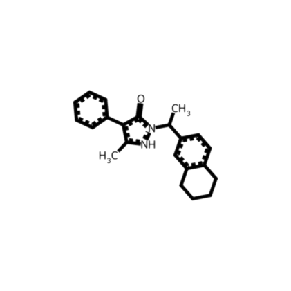 Cc1[nH]n(C(C)c2ccc3c(c2)CCCC3)c(=O)c1-c1ccccc1